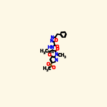 C[C@H]1Oc2cc(S(C)(=O)=O)cnc2N(C)C(=O)[C@H]1NC(=O)c1nnc(Cc2ccccc2)o1